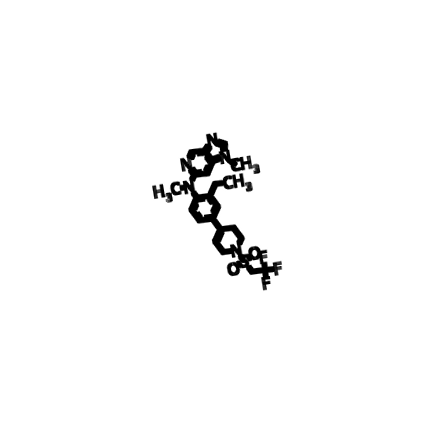 CCc1cc(C2=CCN(S(=O)(=O)CC(F)(F)F)CC2)ccc1N(C)c1cc2c(cn1)ncn2C